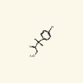 CC(=O)OCC(=O)C(C)(C)c1ccc(Cl)cc1